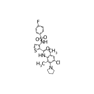 Cc1cc(Cl)c(N2CCCC2)c(C)c1NC(=O)c1sccc1NS(=O)(=O)c1ccc(F)cc1